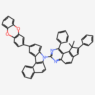 CC1(C)C(c2ccccc2)=Cc2ccc3nc(-n4c5ccc(-c6ccc7c(c6)Oc6ccccc6O7)cc5c5c6ccccc6ccc54)nc(-c4ccccc4)c3c21